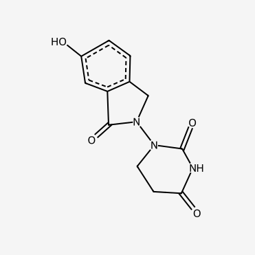 O=C1CCN(N2Cc3ccc(O)cc3C2=O)C(=O)N1